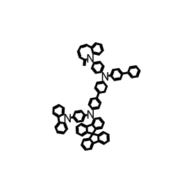 C=C1/C=C\C=C/c2ccccc2N1c1ccc(N(C2=CC=C(c3ccc(N(c4ccc(-n5c6ccccc6c6ccccc65)cc4)c4cccc5c4-c4ccccc4C54c5ccccc5-c5ccccc54)cc3)CC2)c2ccc(-c3ccccc3)cc2)cc1